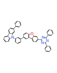 c1ccc(-c2ccc3c4ccccc4n(-c4cccc(-c5ccc6oc7cc(-c8nc(-c9ccccc9)nc(-c9ccccc9)n8)ccc7c6c5)c4)c3c2)cc1